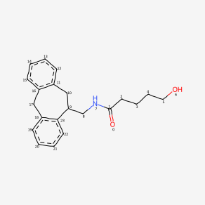 O=C(CCCCO)NCC1Cc2ccccc2Cc2ccccc21